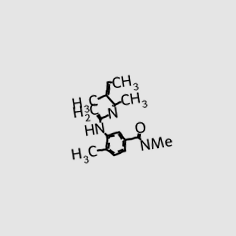 C=C(/N=C(C)\C(C)=C/C)Nc1cc(C(=O)NC)ccc1C